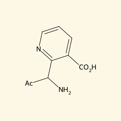 CC(=O)C(N)c1ncccc1C(=O)O